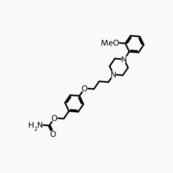 COc1ccccc1N1CCN(CCCOc2ccc(COC(N)=O)cc2)CC1